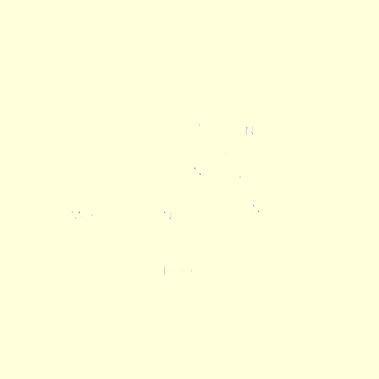 COc1cccc2c1nc(-c1ncc(C)cc1C(=O)O)n2S(=O)(=O)N(C)C